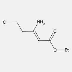 CCOC(=O)C=C(N)CCCl